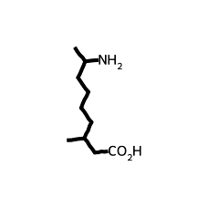 CC(N)CCCCC(C)CC(=O)O